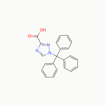 O=C(O)c1ncn(C(c2ccccc2)(c2ccccc2)c2ccccc2)n1